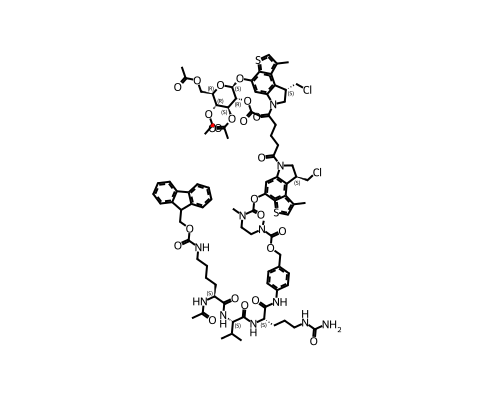 CC(=O)N[C@@H](CCCCNC(=O)OCC1c2ccccc2-c2ccccc21)C(=O)N[C@H](C(=O)N[C@@H](CCCNC(N)=O)C(=O)Nc1ccc(COC(=O)N(C)CCN(C)C(=O)Oc2cc3c(c4c(C)csc24)[C@H](CCl)CN3C(=O)CCCC(=O)N2C[C@@H](CCl)c3c2cc(O[C@@H]2O[C@H](COC(C)=O)[C@@H](OC(C)=O)[C@H](OC(C)=O)[C@H]2OC(C)=O)c2scc(C)c32)cc1)C(C)C